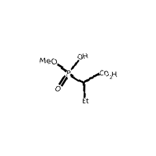 CCC(C(=O)O)P(=O)(O)OC